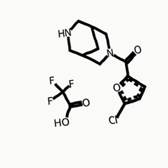 O=C(O)C(F)(F)F.O=C(c1ccc(Cl)o1)N1CC2CNCC(C2)C1